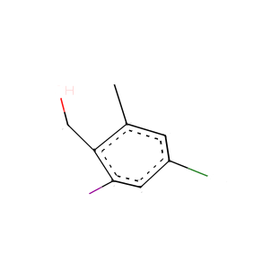 Cc1cc(Cl)cc(I)c1CO